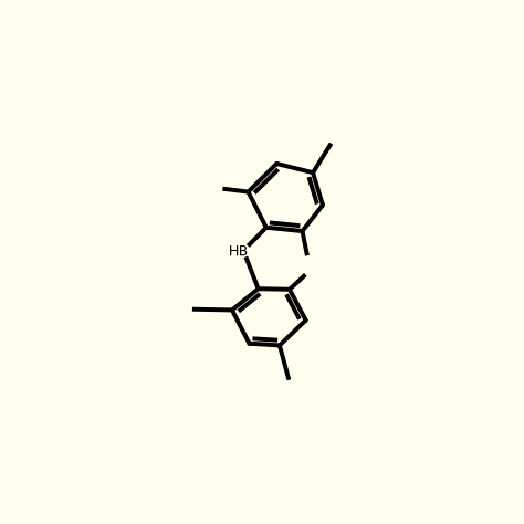 Cc1cc(C)c(Bc2c(C)cc(C)cc2C)c(C)c1